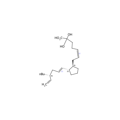 C=C[C@@H](C/C=C/[C@H]1CCC[C@@H]1C/C=C\CCC(O)(O)C(=O)O)CCCC